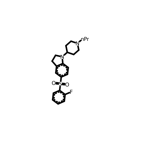 CCCN1CCC(N2CCc3cc(S(=O)(=O)c4ccccc4F)ccc32)CC1